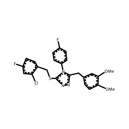 COc1ccc(Cc2nnc(SCc3ccc(F)cc3Cl)n2-c2ccc(F)cc2)cc1OC